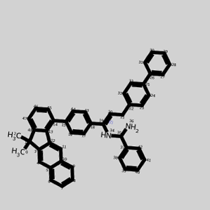 CC1(C)c2cc3ccccc3cc2-c2c(-c3ccc(/C(=C/Cc4ccc(-c5ccccc5)cc4)NC(N)c4ccccc4)cc3)cccc21